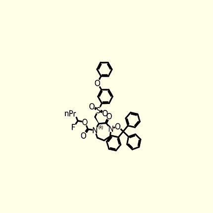 CCCC(F)OC(=O)N1CCCN(OC(c2ccccc2)(c2ccccc2)c2ccccc2)C(=O)[C@@H]1CS(=O)(=O)c1cccc(Oc2ccccc2)c1